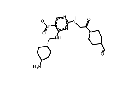 N[C@H]1CC[C@H](CNc2nc(NCC(=O)N3CCC(C=O)CC3)ncc2[N+](=O)[O-])CC1